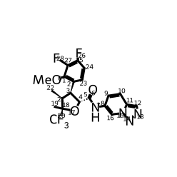 COc1c([C@H]2[C@H](C(=O)Nc3ccc4cnnn4c3)O[C@@](C)(C(F)(F)F)[C@H]2C)ccc(F)c1F